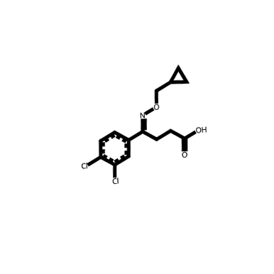 O=C(O)CCC(=NOCC1CC1)c1ccc(Cl)c(Cl)c1